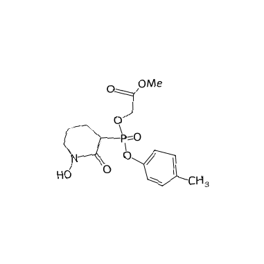 COC(=O)COP(=O)(Oc1ccc(C)cc1)C1CCCN(O)C1=O